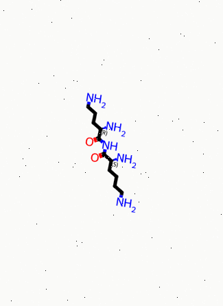 NCCCC[C@H](N)C(=O)NC(=O)[C@H](N)CCCN